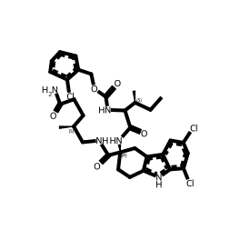 CC[C@H](C)C(NC(=O)OCc1ccccc1Cl)C(=O)N[C@]1(C(=O)NC[C@@H](C)CCC(N)=O)CCc2[nH]c3c(Cl)cc(Cl)cc3c2C1